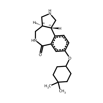 CC1(C)CCC(Oc2ccc3c(c2)C(=O)NC[C@H]2CNC[C@H]32)CC1